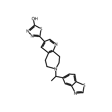 CC(c1ccc2scnc2c1)N1CCc2cc(-c3nnc(O)s3)cnc2CC1